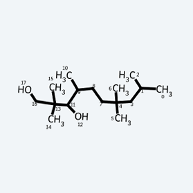 CC(C)CC(C)(C)CCC(C)C(O)C(C)(C)CO